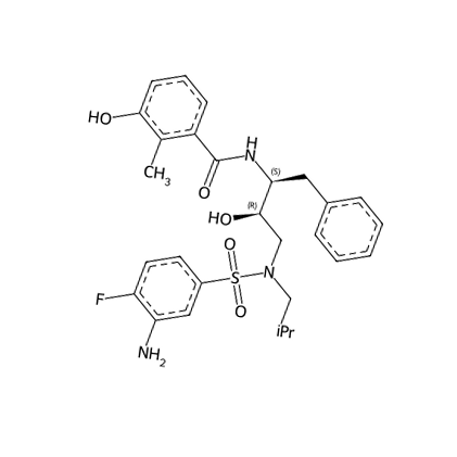 Cc1c(O)cccc1C(=O)N[C@@H](Cc1ccccc1)[C@H](O)CN(CC(C)C)S(=O)(=O)c1ccc(F)c(N)c1